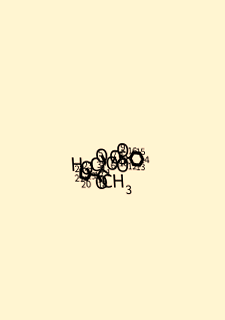 CCC(C)(C(=O)OOS(=O)(=O)c1ccccc1)C(=O)c1ccco1